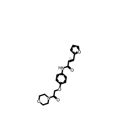 O=C(/C=C/c1ccco1)Nc1ccc(OCC(=O)N2CCOCC2)cc1